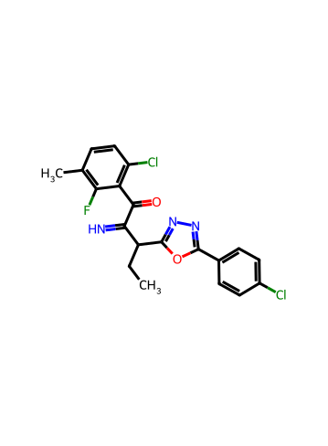 CCC(C(=N)C(=O)c1c(Cl)ccc(C)c1F)c1nnc(-c2ccc(Cl)cc2)o1